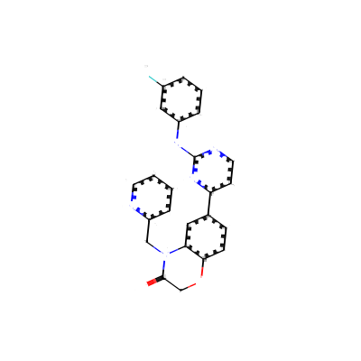 O=C1COc2ccc(-c3ccnc(Nc4cccc(F)c4)n3)cc2N1Cc1ccccn1